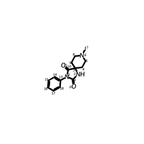 O=C1NC2(CCN(I)CC2)C(=O)N1c1ccccc1